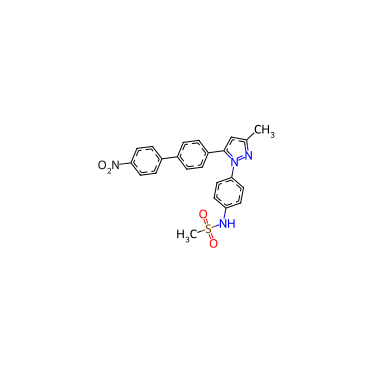 Cc1cc(-c2ccc(-c3ccc([N+](=O)[O-])cc3)cc2)n(-c2ccc(NS(C)(=O)=O)cc2)n1